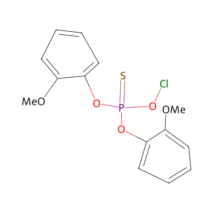 COc1ccccc1OP(=S)(OCl)Oc1ccccc1OC